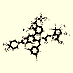 C[C@@H]1c2c(C(F)(F)F)nn(CC(=O)NC(Cc3cc(F)cc(F)c3)c3nc4nc(N5CCC(C)(O)CC5)sc4cc3-c3cccc4c(NS(C)(=O)=O)nn(C)c34)c2C(F)(F)[C@@H]1C